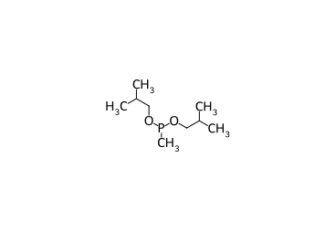 CC(C)COP(C)OCC(C)C